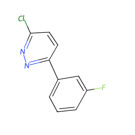 Fc1cccc(-c2ccc(Cl)nn2)c1